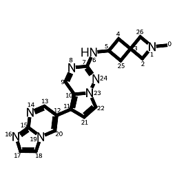 CN1CC2(CC(Nc3ncc4c(-c5cnc6nccn6c5)ccn4n3)C2)C1